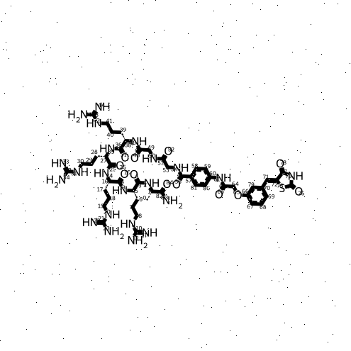 C[C@H](NC(=O)[C@H](CCCNC(=N)N)NC(=O)[C@H](CCCNC(=N)N)NC(=O)[C@H](CCCNC(=N)N)NC(=O)[C@H](CCCNC(=N)N)NC(=O)CNC(=O)CNC(=O)c1ccc(NC(=O)COc2cccc(/C=C3\SC(=O)NC3=O)c2)cc1)C(N)=O